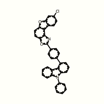 Clc1ccc2c(c1)oc1ccc3oc(-c4ccc(-c5cccc6c5c5ccccc5n6-c5ccccc5)cc4)nc3c12